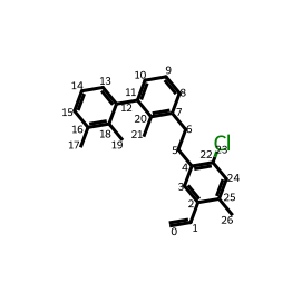 C=Cc1cc(CCc2cccc(-c3cccc(C)c3C)c2C)c(Cl)cc1C